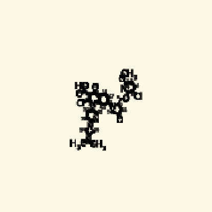 COc1ccc(Cl)c(OC[C@H]2CC(=O)CN2c2ccc3c(=O)c(C(=O)O)c(Cl)n(-c4ccc(N5CC(N(C)C)C5)nc4)c3c2)n1